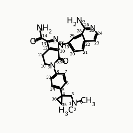 CN(C)CC1(c2ccc(N3CCc4c(C(N)=O)nn(-c5ccc6ccnc(N)c6c5)c4C3=O)cc2)CC1